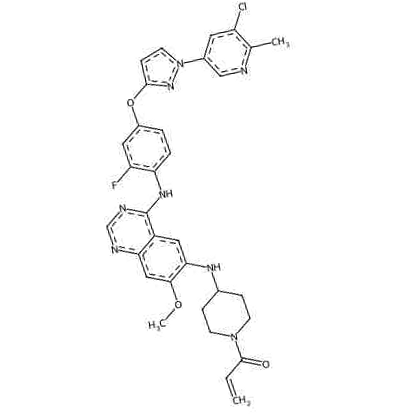 C=CC(=O)N1CCC(Nc2cc3c(Nc4ccc(Oc5ccn(-c6cnc(C)c(Cl)c6)n5)cc4F)ncnc3cc2OC)CC1